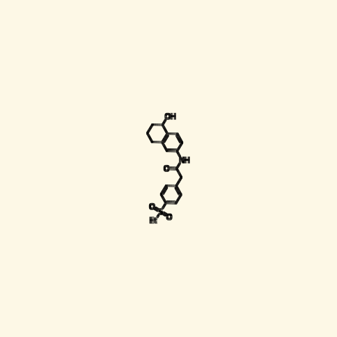 CCS(=O)(=O)c1ccc(CC(=O)Nc2ccc3c(c2)CCCC3O)cc1